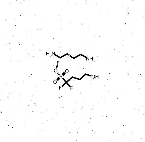 NCCCCN.O=S(=O)(OF)C(F)(F)CCCO